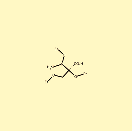 CCOC[C@@](OCC)(C(=O)O)N([SiH3])OCC